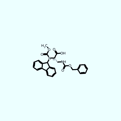 COC(=O)N(C1c2ccccc2-c2ccccc21)[C@@H](CNC(=O)OCc1ccccc1)C(=O)O